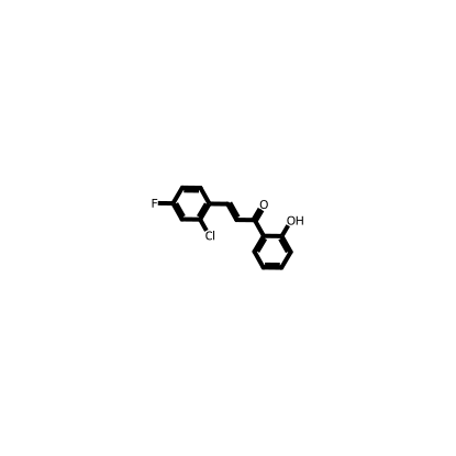 O=C(C=Cc1ccc(F)cc1Cl)c1ccccc1O